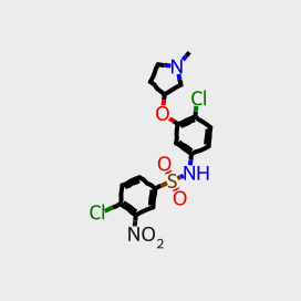 CN1CCC(Oc2cc(NS(=O)(=O)c3ccc(Cl)c([N+](=O)[O-])c3)ccc2Cl)C1